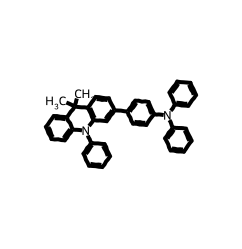 CC1(C)c2ccccc2N(c2ccccc2)c2cc(-c3ccc(N(c4ccccc4)c4ccccc4)cc3)ccc21